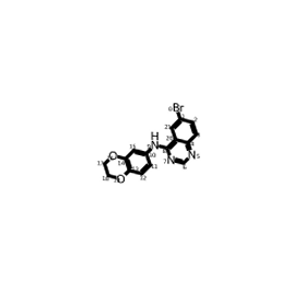 Brc1ccc2ncnc(Nc3ccc4c(c3)OCCO4)c2c1